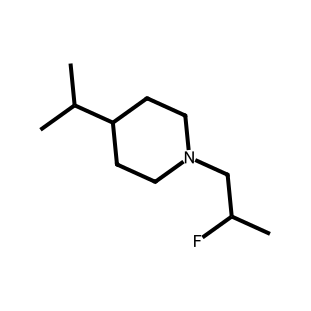 CC(F)CN1CCC(C(C)C)CC1